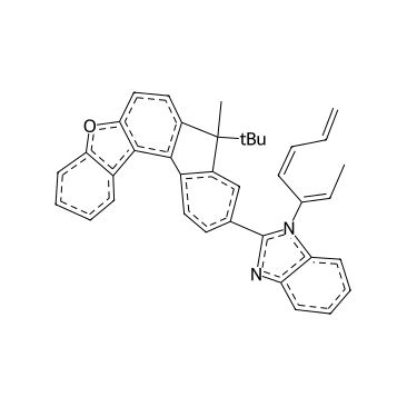 C=C/C=C\C(=C/C)n1c(-c2ccc3c(c2)C(C)(C(C)(C)C)c2ccc4oc5ccccc5c4c2-3)nc2ccccc21